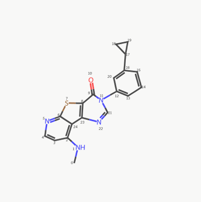 CNc1ccnc2sc3c(=O)n(-c4cccc(C5CC5)c4)cnc3c12